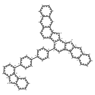 c1ccc2cc3c(ccc4c3nc3c5sc6cc7ccccc7cc6c5cc(-c5ccc(-c6ccc(-c7cccc8oc9ccccc9c78)cc6)cc5)n43)cc2c1